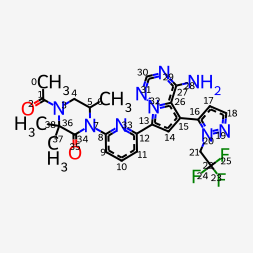 CC(=O)N1CC(C)N(c2cccc(-c3cc(-c4ccnn4CC(F)(F)F)c4c(N)ncnn34)n2)C(=O)C1(C)C